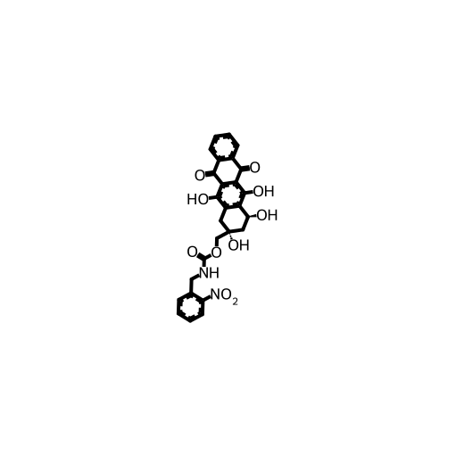 O=C(NCc1ccccc1[N+](=O)[O-])OC[C@@]1(O)Cc2c(O)c3c(c(O)c2[C@@H](O)C1)C(=O)c1ccccc1C3=O